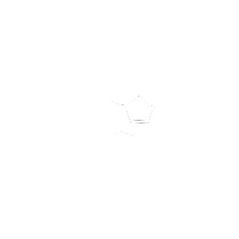 CCn1ccnc1.CS(=O)(=O)O